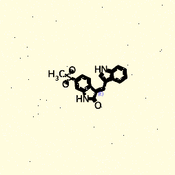 CS(=O)(=O)c1ccc2c(c1)NC(=O)/C2=C/c1c[nH]c2ccccc12